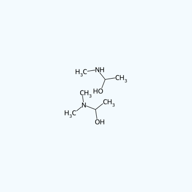 CC(O)N(C)C.CNC(C)O